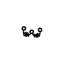 c1ccc(Cn2cc[n+](Cc3ccccc3Cn3cc[n+](Cc4ccccc4)c3)c2)cc1